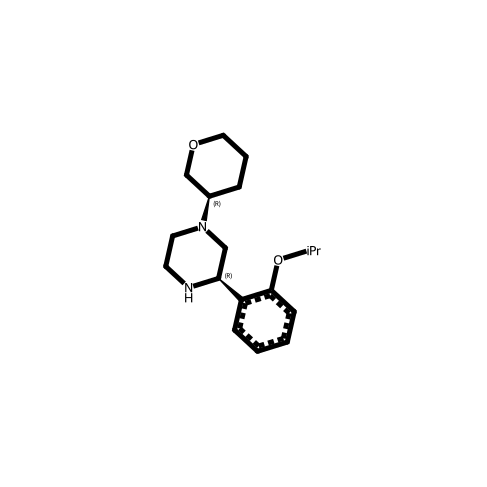 CC(C)Oc1ccccc1[C@@H]1CN([C@@H]2CCCOC2)CCN1